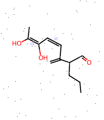 C=C(/C=C\C(O)=C(/C)O)C(C=O)CCC